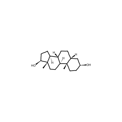 C[C@]12CC[C@H](O)C[C@H]1CC[C@@H]1[C@@H]2CC[C@]2(C)[C@@H](O)CC[C@@H]12